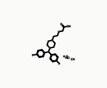 Cl.Cl.O.O=C(O)COCCN1CCN(C(c2ccc(F)cc2)c2ccc(F)cc2)CC1